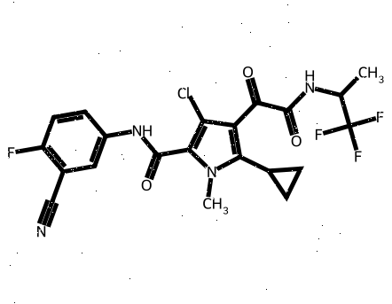 CC(NC(=O)C(=O)c1c(Cl)c(C(=O)Nc2ccc(F)c(C#N)c2)n(C)c1C1CC1)C(F)(F)F